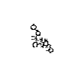 O=C(Nc1ccccc1-c1nc2cc(CN3CCCC3=O)cnc2s1)c1cccc(-c2ccccc2)c1